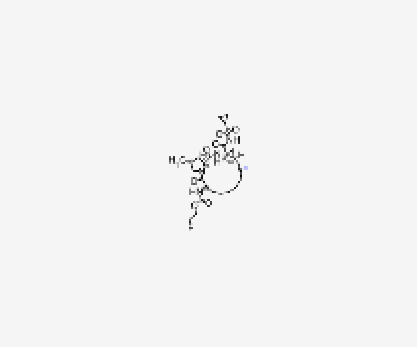 C[C@@H]1C[C@H]2C(=O)N[C@]3(C(=O)NS(=O)(=O)C4CC4)C[C@H]3/C=C\CCCCC[C@H](NC(=O)OCCF)C(=O)N2C1